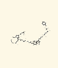 CNC(CCCCNC(=O)CCC(=O)OC1/C=C/C(=O)OC(C)CCC/C=C/C2CC(OC(=O)CN(C)C)CC21)C(=O)C(C)C(C)(C)NC(CCCCNC(=O)CCC(=O)OC(=O)OCc1ccccc1)C(C)=O